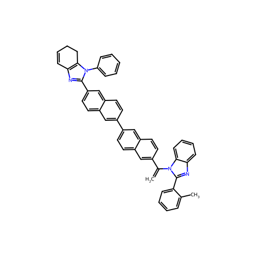 C=C(c1ccc2cc(-c3ccc4cc(-c5nc6c(n5-c5ccccc5)CCC=C6)ccc4c3)ccc2c1)n1c(-c2ccccc2C)nc2ccccc21